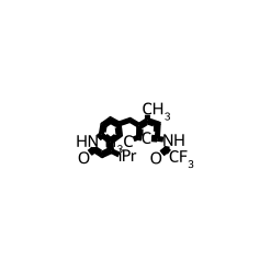 Cc1cc(NC(=O)C(F)(F)F)cc(C)c1Cc1ccc2[nH]c(=O)cc(C(C)C)c2c1